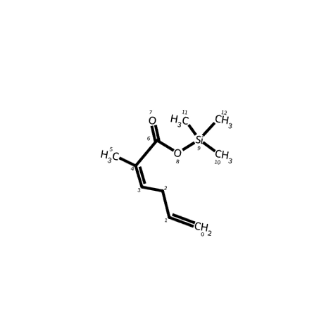 C=CCC=C(C)C(=O)O[Si](C)(C)C